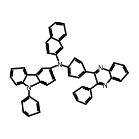 c1ccc(-c2nc3ccccc3nc2-c2ccc(N(c3ccc4ccccc4c3)c3ccc4c(c3)c3ccccc3n4-c3ccccc3)cc2)cc1